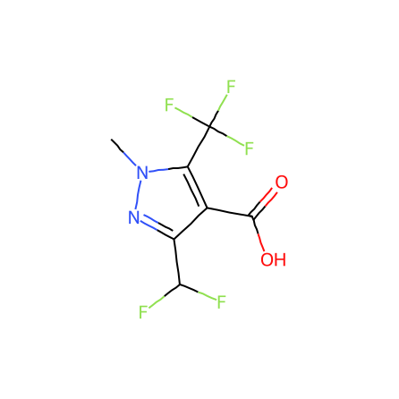 Cn1nc(C(F)F)c(C(=O)O)c1C(F)(F)F